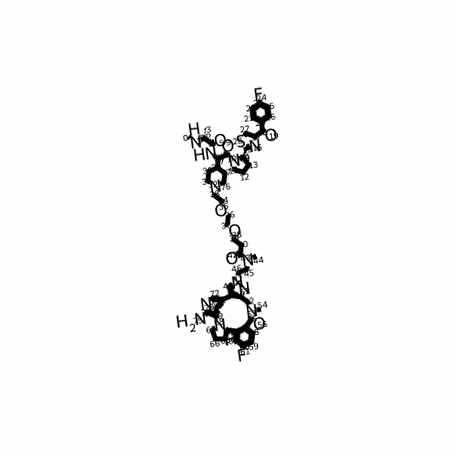 CN[C@H](C)C(=O)N[C@@H](C(=O)N1CCC[C@@H]1C1=NC(C(=O)c2ccc(F)cc2)CS1)C1CCN(CCOCCOCCC(=O)N(C)CCn2cc3c(n2)CN(C)C(=O)c2ccc(F)cc2[C@H]2CCCN2c2cc-3cnc2N)CC1